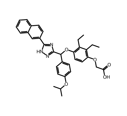 CCc1c(OCC(=O)O)ccc(OC(c2ccc(OC(C)C)cc2)c2n[nH]c(-c3ccc4ccccc4c3)n2)c1CC